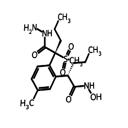 CCC[C@H](C(=O)NO)c1cc(C)ccc1[C@](CCC)(C(=O)NN)S(C)(=O)=O